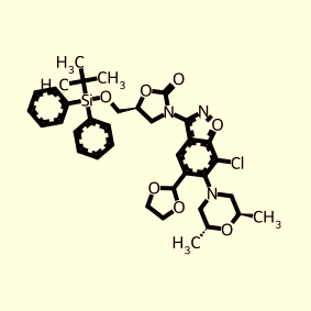 C[C@@H]1CN(c2c(C3OCCO3)cc3c(N4C[C@@H](CO[Si](c5ccccc5)(c5ccccc5)C(C)(C)C)OC4=O)noc3c2Cl)C[C@@H](C)O1